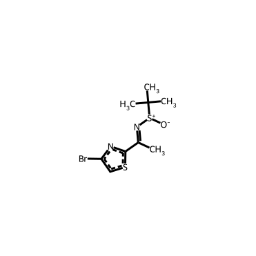 CC(=N[S+]([O-])C(C)(C)C)c1nc(Br)cs1